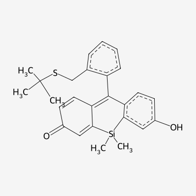 CC(C)(C)SCc1ccccc1C1=C2C=CC(=O)C=C2[Si](C)(C)c2cc(O)ccc21